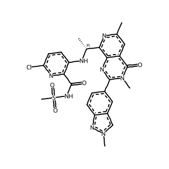 Cc1cc2c(=O)n(C)c(-c3ccc4nn(C)cc4c3)nc2c([C@@H](C)Nc2ccc(Cl)nc2C(=O)NS(C)(=O)=O)n1